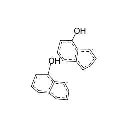 Oc1cccc2ccc[c]c12.Oc1cccc2ccc[c]c12